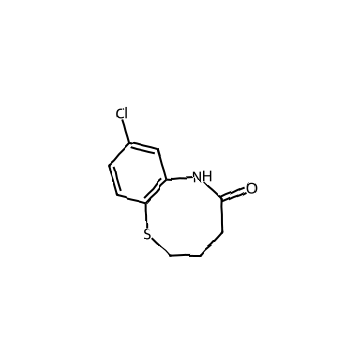 O=C1CCCSc2ccc(Cl)cc2N1